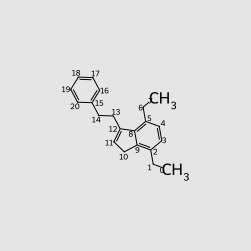 CCc1ccc(CC)c2c1CC=C2CCc1ccccc1